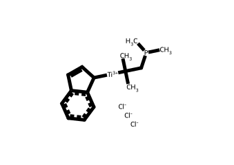 CP(C)C[C](C)(C)[Ti+3][CH]1C=Cc2ccccc21.[Cl-].[Cl-].[Cl-]